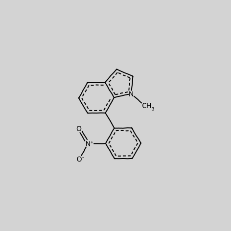 Cn1ccc2cccc(-c3ccccc3[N+](=O)[O-])c21